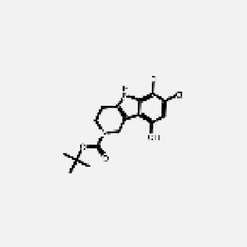 CC(C)(C)OC(=O)N1CCc2[nH]c3c(Cl)c(Cl)cc(O)c3c2C1